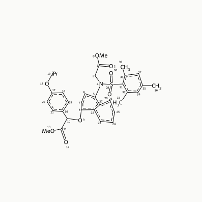 COC(=O)CN(c1ccc(OC(C(=O)OC)c2ccc(OC(C)C)cc2)c2ccccc12)S(=O)(=O)c1c(C)cc(C)cc1C